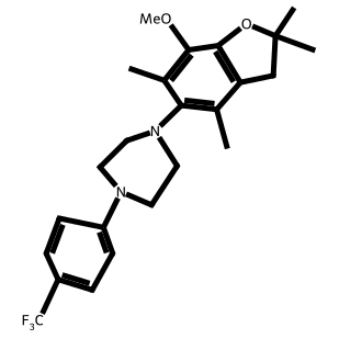 COc1c(C)c(N2CCN(c3ccc(C(F)(F)F)cc3)CC2)c(C)c2c1OC(C)(C)C2